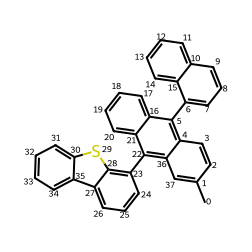 Cc1ccc2c(-c3cccc4ccccc34)c3ccccc3c(-c3cccc4c3sc3ccccc34)c2c1